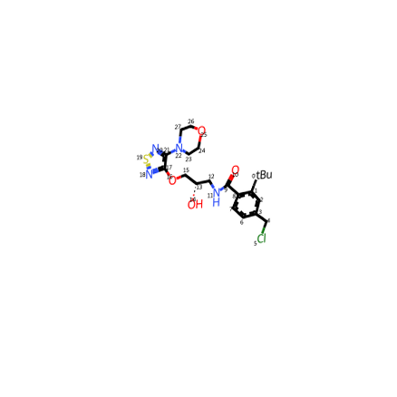 CC(C)(C)c1cc(CCl)ccc1C(=O)NC[C@H](O)COc1nsnc1N1CCOCC1